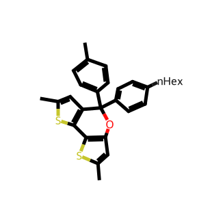 CCCCCCc1ccc(C2(c3ccc(C)cc3)Oc3cc(C)sc3-c3sc(C)cc32)cc1